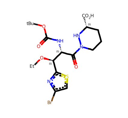 CCO[C@H](c1nc(Br)cs1)[C@H](NC(=O)OC(C)(C)C)C(=O)N1CCC[C@@H](C(=O)O)N1